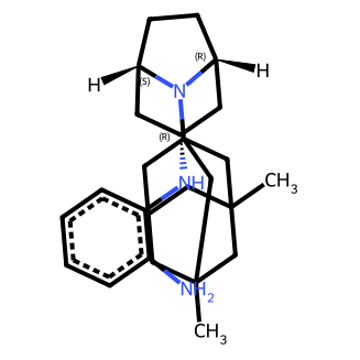 CC12CC3CC(C)(C1)CC(N1[C@@H]4CC[C@H]1C[C@@H](Nc1ccccc1N)C4)(C3)C2